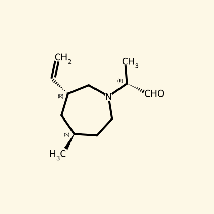 C=C[C@H]1C[C@H](C)CCN([C@H](C)C=O)C1